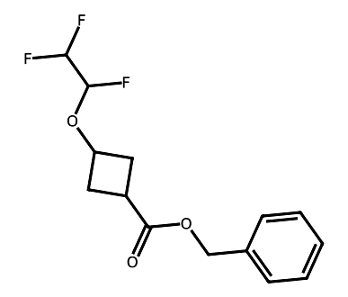 O=C(OCc1ccccc1)C1CC(OC(F)C(F)F)C1